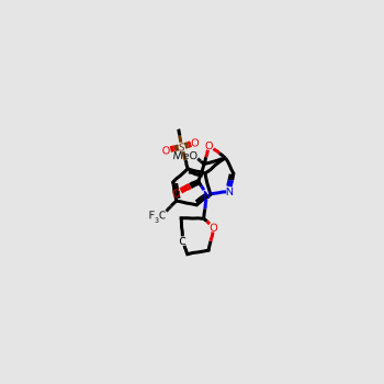 COC12OC1(c1ccc(C(F)(F)F)cc1S(C)(=O)=O)C=NN(C1CCCCO1)C2=O